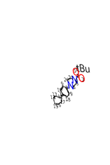 CC(C)(C)OC(=O)N1CCN(c2ccc(C3CCCCC3)cc2)CC1